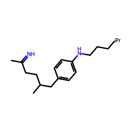 CC(=N)CCC(C)Cc1ccc(NCCCC(C)C)cc1